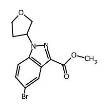 COC(=O)c1nn(C2CCOC2)c2ccc(Br)cc12